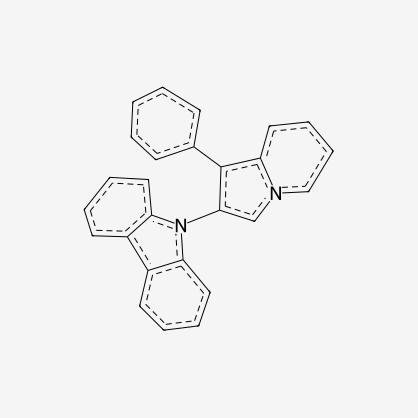 c1ccc(-c2c(-n3c4ccccc4c4ccccc43)cn3ccccc23)cc1